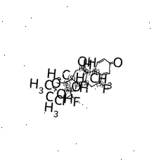 CC1(C)O[C@@H]2C[C@H]3[C@@H]4C[C@H](F)C5=CC(=O)C=C[C@]5(C)[C@@H]4[C@@H](O)C[C@]3(C)[C@]2(C(=O)C(F)Cl)O1